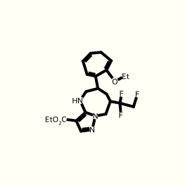 CCOC(=O)c1cnn2c1NCC(C1=CC=CCC=C1OCC)CC(C(F)(F)CF)C2